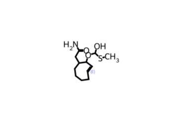 CSC(O)OC1/C=C/CCCCC1CC(N)=O